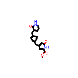 COC(=O)c1cc(Cc2ccc(Cc3ccc[nH]c3=O)cc2)cc(=O)[nH]1